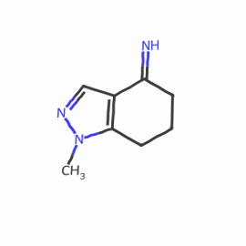 Cn1ncc2c1CCCC2=N